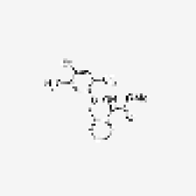 CCc1cc(C(F)(F)F)c(OCc2ccccc2N(O)C(=O)OC)cc1C